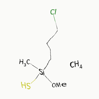 C.CO[Si](C)(S)CCCCl